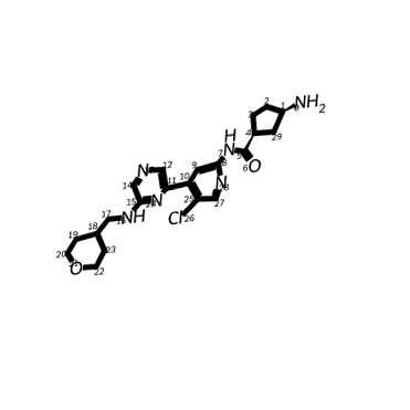 N[C@@H]1CC[C@H](C(=O)Nc2cc(-c3cncc(NCC4CCOCC4)n3)c(Cl)cn2)C1